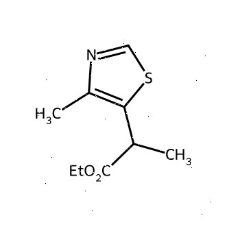 CCOC(=O)C(C)c1scnc1C